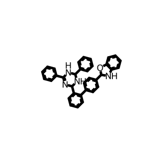 c1ccc(C2=NC(c3ccccc3-c3ccc(C4Nc5ccccc5O4)cc3)NC(c3ccccc3)N2)cc1